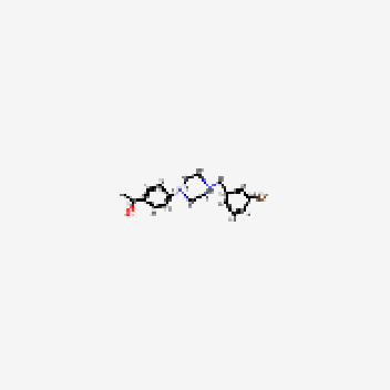 CC(=O)c1ccc(N2CCN(Cc3cccc(Br)c3)CC2)cc1